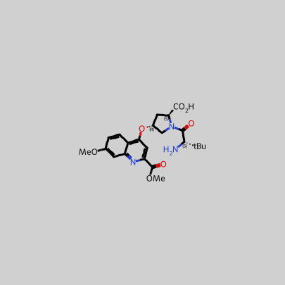 COC(=O)c1cc(O[C@@H]2C[C@@H](C(=O)O)N(C(=O)[C@@H](N)C(C)(C)C)C2)c2ccc(OC)cc2n1